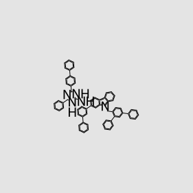 c1ccc(-c2ccc(C3=NC(c4ccccc4)NC(Nc4ccc(-c5ccccc5)cc4-c4ccc5c6ccccc6n(Cc6ccc(-c7ccccc7)cc6-c6ccccc6)c5c4)N3)cc2)cc1